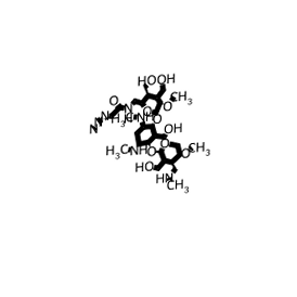 CNC[C@H]1C(CO)[C@@H](O[C@H]2C(CO)[C@H](O[C@@H]3OC(CNC(=O)CN=[N+]=[N-])[C@@H](CO)C(CO)[C@@H]3OC)C(NC)C[C@H]2NC)OC[C@@H]1OC